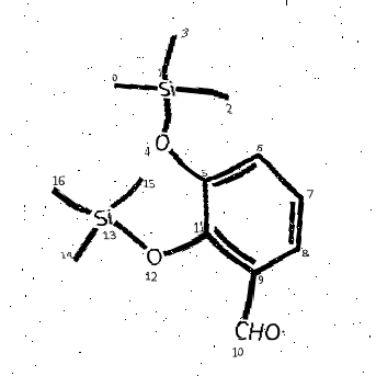 C[Si](C)(C)Oc1cccc([C]=O)c1O[Si](C)(C)C